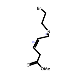 COC(=O)C/C=C\C=N/CCBr